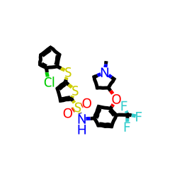 CN1CCC(Oc2cc(NS(=O)(=O)c3ccc(Sc4ccccc4Cl)s3)ccc2C(F)(F)F)C1